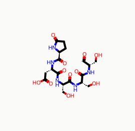 O=[C][C@H](CO)NC(=O)[C@H](CO)NC(=O)[C@H](CO)NC(=O)[C@H](CC(=O)O)NC(=O)[C@@H]1CCC(=O)N1